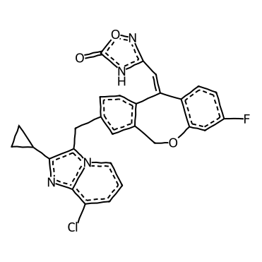 O=c1[nH]c(/C=C2\c3ccc(Cc4c(C5CC5)nc5c(Cl)cccn45)cc3COc3cc(F)ccc32)no1